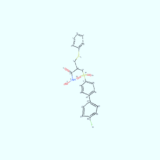 O=C(NO)C(CSc1ccccc1)CS(=O)(=O)c1ccc(-c2ccc(F)cc2)cc1